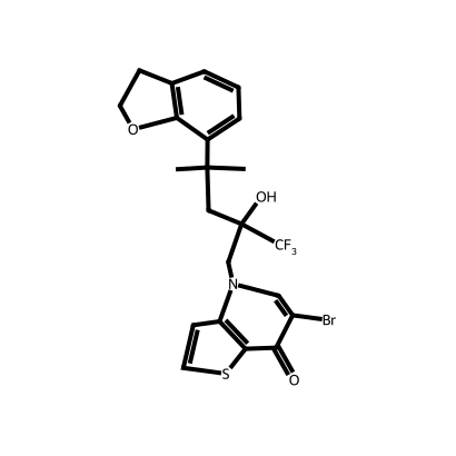 CC(C)(CC(O)(Cn1cc(Br)c(=O)c2sccc21)C(F)(F)F)c1cccc2c1OCC2